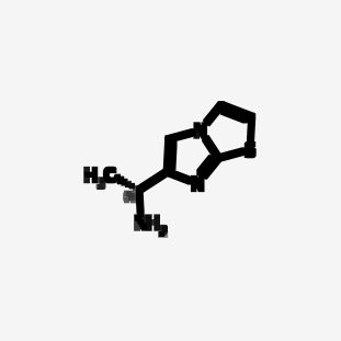 C[C@@H](N)c1cn2ccsc2n1